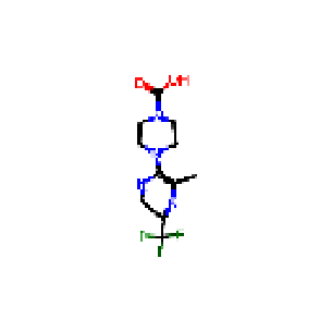 Cc1nc(C(F)(F)F)cnc1N1CCN(C(=O)O)CC1